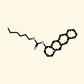 CCCCCCOC(=O)Oc1cccc2cc3cc4ccccc4cc3cc12